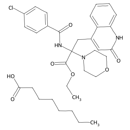 CCCCCCCC(=O)O.CCOC(=O)C(Cc1cc(=O)[nH]c2ccccc12)(NC(=O)c1ccc(Cl)cc1)N1CCOCC1